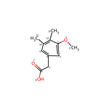 COc1cc(CC(=O)O)cc(C)c1C